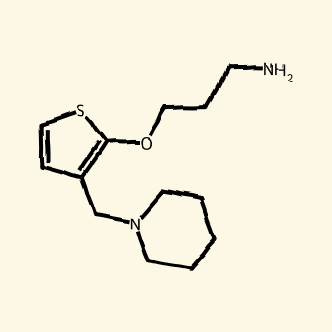 NCCCOc1sccc1CN1CCCCC1